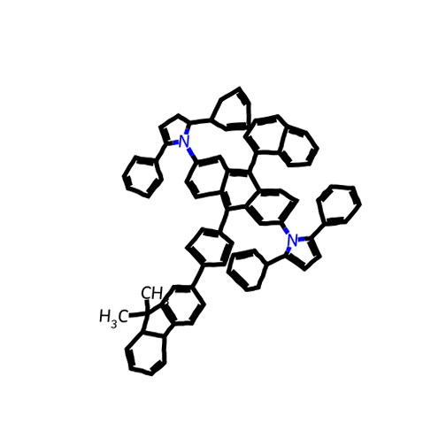 CC1(C)c2cc(-c3ccc(-c4c5cc(-n6c(-c7ccccc7)ccc6C6C=CC=CC6)ccc5c(-c5cccc6ccccc56)c5cc(N6C(c7ccccc7)=CCC6C6C=CC=CC6)ccc45)cc3)ccc2C2C=CC=CC21